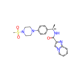 C[C@@H](NC(=O)c1cn2ccccc2n1)c1ccc(N2CCN(S(C)(=O)=O)CC2)cc1